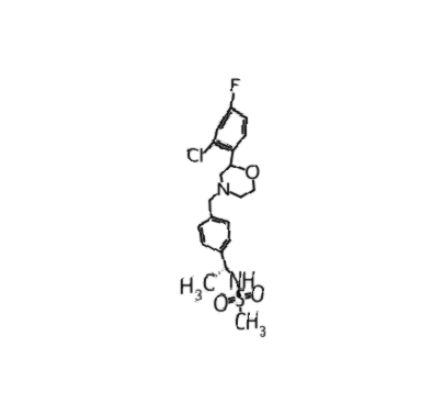 C[C@@H](NS(C)(=O)=O)c1ccc(CN2CCOC(c3ccc(F)cc3Cl)C2)cc1